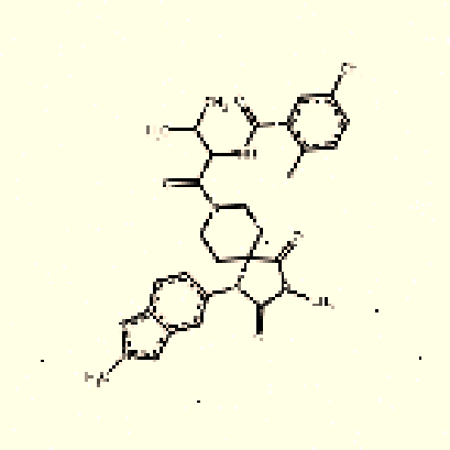 Cc1ccc(F)c(C(=O)N[C@@H](C(=O)N2CCC3(CC2)C(=O)N(C)C(=O)N3c2ccc3nn(C)cc3c2)C(C)C)c1